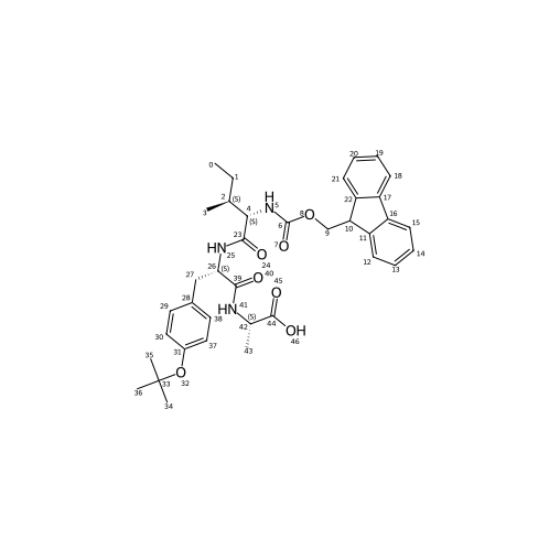 CC[C@H](C)[C@H](NC(=O)OCC1c2ccccc2-c2ccccc21)C(=O)N[C@@H](Cc1ccc(OC(C)(C)C)cc1)C(=O)N[C@@H](C)C(=O)O